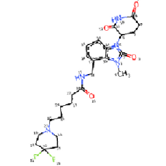 Cn1c(=O)n(C2CCC(=O)NC2=O)c2cccc(CNC(=O)CCCCCN3CCC(F)(F)CC3)c21